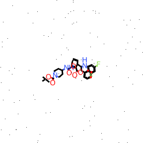 COC(=O)C1=C(C(=O)NC2CCN(C(=O)OC(C)(C)C)CC2)C2C=CC1(C(Cc1ccccc1)Nc1cc(F)cc(F)c1)O2